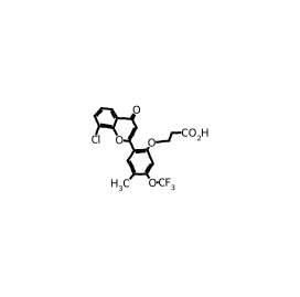 Cc1cc(-c2cc(=O)c3cccc(Cl)c3o2)c(OCCC(=O)O)cc1OC(F)(F)F